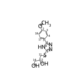 COc1ccc(-c2nnc(SCC(O)CO)[nH]2)cc1